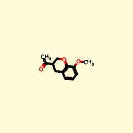 COc1cccc2c1OCC(C(C)=O)C2